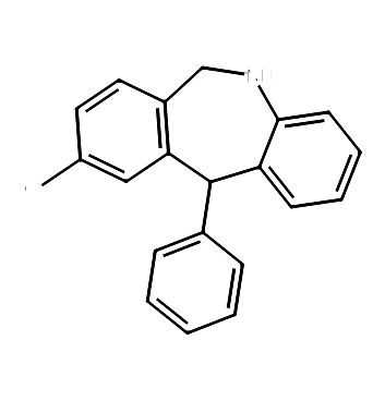 Clc1ccc2c(c1)C(c1ccccc1)c1ccccc1NC2